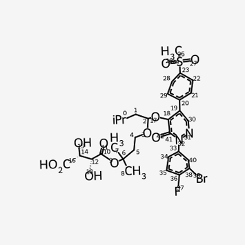 CC(C)CC(OCCC(C)(C)OC(=O)[C@H](O)[C@@H](O)C(=O)O)Oc1c(-c2ccc(S(C)(=O)=O)cc2)cnn(-c2ccc(F)c(Br)c2)c1=O